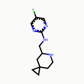 Fc1cnc(NCC2CC3(CCN2)CC3)nc1